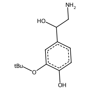 CC(C)(C)Oc1cc(C(O)CN)ccc1O